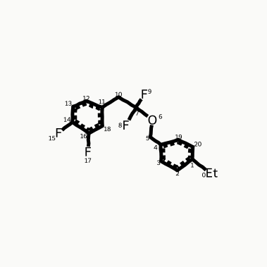 CCc1ccc(COC(F)(F)Cc2ccc(F)c(F)c2)cc1